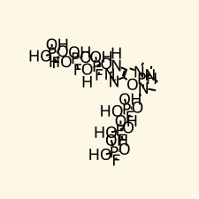 CN(C)[PH](Oc1c[nH]nn1)(N(C)C)N(C)C.O=P(O)(O)F.O=P(O)(O)F.O=P(O)(O)F.O=P(O)(O)F.O=P(O)(O)F.O=P(O)(O)F